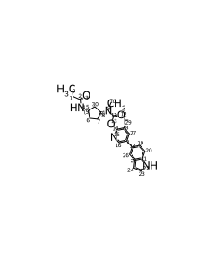 CCC(=O)N[C@H]1CC[C@@H](N(C)C(=O)Oc2ncc(-c3ccc4[nH]ccc4c3)cc2F)C1